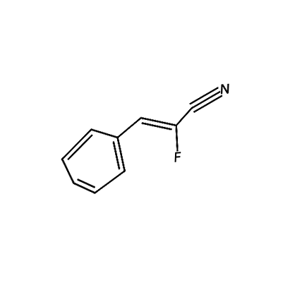 N#CC(F)=Cc1ccccc1